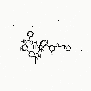 OC(Nc1cncc(-c2ccc3[nH]nc(-c4nc5c(-c6cc(F)cc(OCCN7CCCC7)c6)nccc5[nH]4)c3c2)c1)c1ccccc1